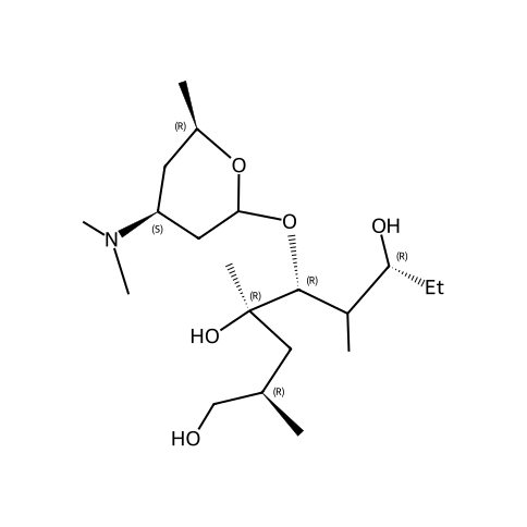 CC[C@@H](O)C(C)[C@@H](OC1C[C@@H](N(C)C)C[C@@H](C)O1)[C@](C)(O)C[C@@H](C)CO